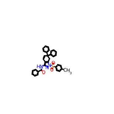 Cc1ccc(S(=O)(=O)n2nc(NC(=O)c3ccccc3)c3c2CC(c2ccccc2)(c2ccccc2)C=C3)cc1